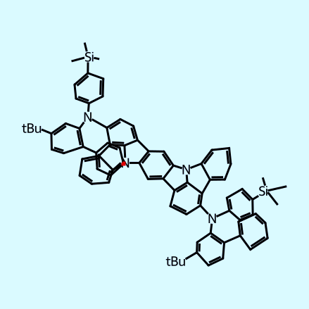 CC(C)(C)c1ccc(-c2ccccc2)c(N(c2ccc([Si](C)(C)C)cc2)c2ccc3c4cc5c(cc4n4c6ccccc6c2c34)c2ccc(N(c3ccc([Si](C)(C)C)cc3)c3cc(C(C)(C)C)ccc3-c3ccccc3)c3c4ccccc4n5c23)c1